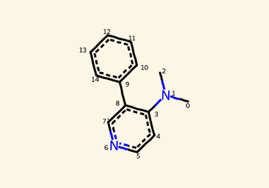 CN(C)c1ccn[c]c1-c1ccccc1